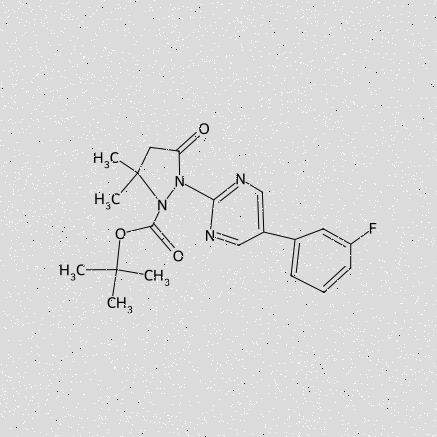 CC(C)(C)OC(=O)N1N(c2ncc(-c3cccc(F)c3)cn2)C(=O)CC1(C)C